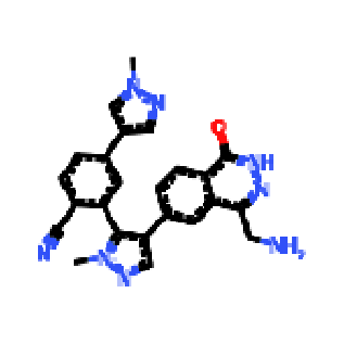 Cn1cc(-c2ccc(C#N)c(-c3c(-c4ccc5c(=O)[nH]nc(CN)c5c4)cnn3C)c2)cn1